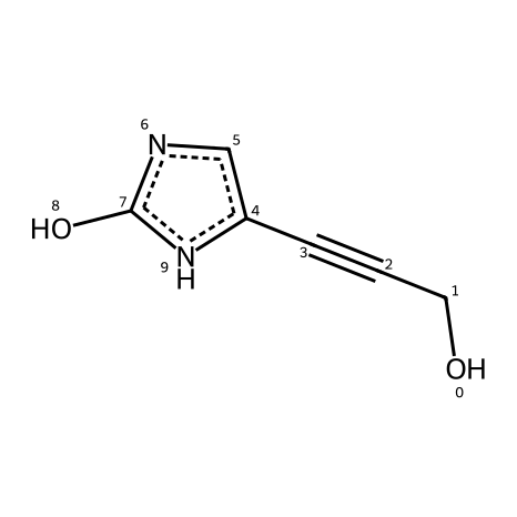 OCC#Cc1cnc(O)[nH]1